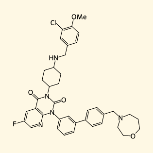 COc1ccc(CNC2CCC(n3c(=O)c4cc(F)cnc4n(-c4cccc(-c5ccc(CN6CCCOCC6)cc5)c4)c3=O)CC2)cc1Cl